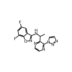 CC(Nc1noc2c(F)cc(F)cc12)c1nccnc1-n1ccnn1